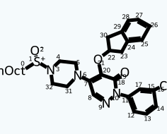 CCCCCCCC[S+]([O-])N1CCN(c2cnn(-c3cccc(Cl)c3)c(=O)c2OC2Cc3ccccc3C2)CC1